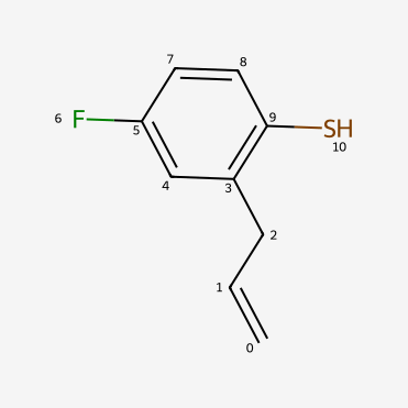 C=CCc1cc(F)ccc1S